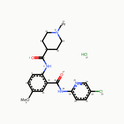 COc1ccc(NC(=O)C2CCN(C(C)C)CC2)c(C(=O)Nc2ccc(Cl)cn2)c1.Cl